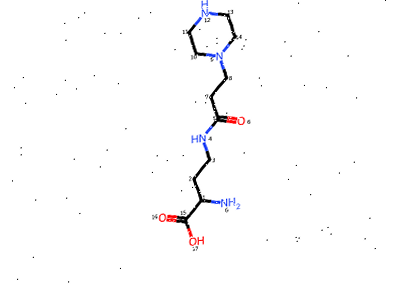 NC(CCNC(=O)CCN1CCNCC1)C(=O)O